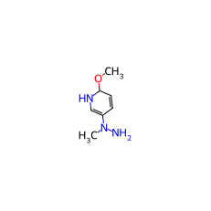 COC1C=CC(N(C)N)=CN1